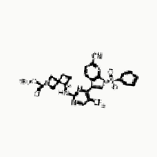 CC(C)(C)OC(=O)N1CC2(CC[C@H]2Nc2ncc(C(F)(F)F)c(-c3cn(S(=O)(=O)c4ccccc4)c4nc(C#N)ccc34)n2)C1